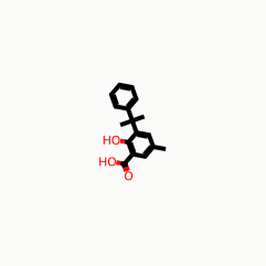 Cc1cc(C(=O)O)c(O)c(C(C)(C)c2ccccc2)c1